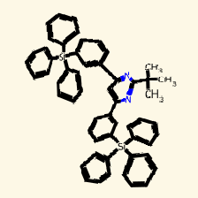 CC(C)(C)c1nc(-c2cccc([Si](c3ccccc3)(c3ccccc3)c3ccccc3)c2)cc(-c2cccc([Si](c3ccccc3)(c3ccccc3)c3ccccc3)c2)n1